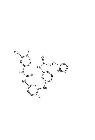 Cc1ccc(NC(=O)Nc2ccc(C)c(C(F)(F)F)c2)cc1Nc1ccc2c(c1)NC(=O)C2=Cc1ccc[nH]1